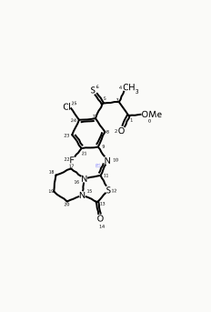 COC(=O)C(C)C(=S)c1cc(/N=c2/sc(=O)n3n2CCCC3)c(F)cc1Cl